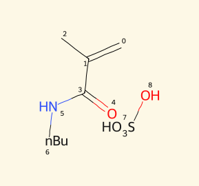 C=C(C)C(=O)NCCCC.O=S(=O)(O)O